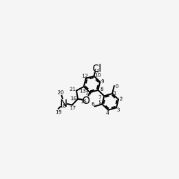 Cc1cccc(C)c1-c1cc(Cl)cc2c1OC(CN(C)C)C2